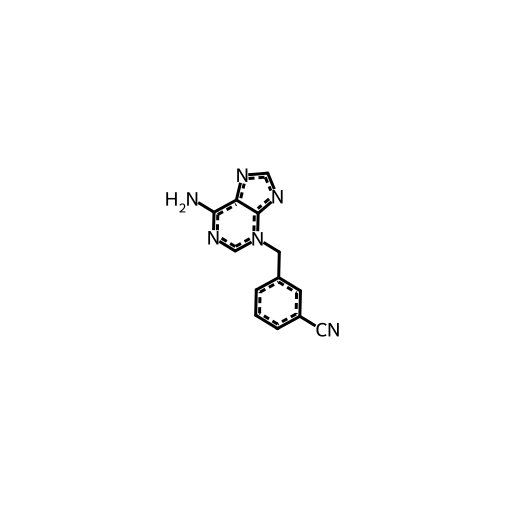 N#Cc1cccc(Cn2cnc(N)c3ncnc2-3)c1